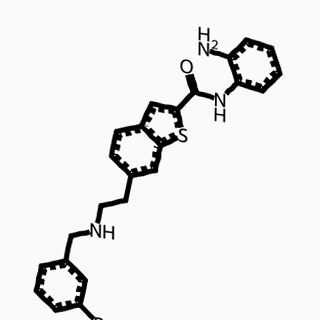 Nc1ccccc1NC(=O)c1cc2ccc(CCNCc3cccc(Br)c3)cc2s1